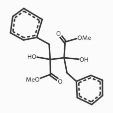 COC(=O)C(O)(Cc1ccccc1)C(O)(Cc1ccccc1)C(=O)OC